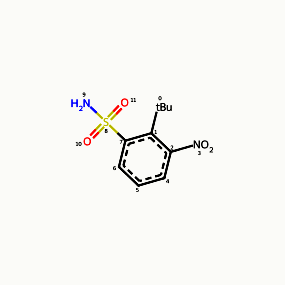 CC(C)(C)c1c([N+](=O)[O-])cccc1S(N)(=O)=O